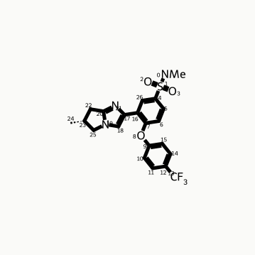 CNS(=O)(=O)c1ccc(Oc2ccc(C(F)(F)F)cc2)c(-c2cn3c(n2)C[C@@H](C)C3)c1